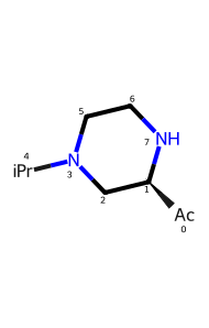 CC(=O)[C@H]1CN(C(C)C)CCN1